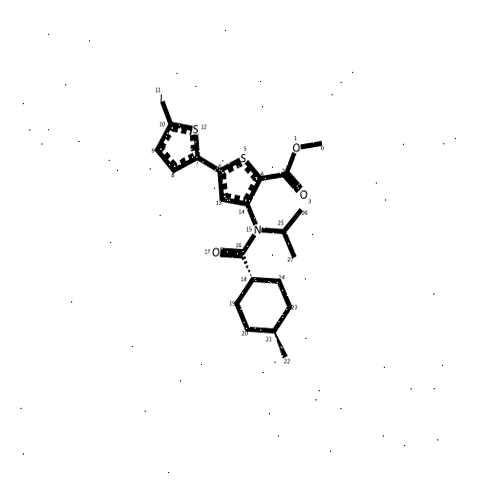 COC(=O)c1sc(-c2ccc(I)s2)cc1N(C(=O)[C@H]1CC[C@H](C)CC1)C(C)C